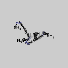 CCCCC/C=C\C/C=C\CCCCCCCCCCCCCCCCC/C=C\C/C=C\CC1(C/C=C\C/C=C\CCCCCCCCC(CCCCCCCC/C=C\C/C=C\CCCCC)OCCCN(C)C)CC(C)(C)C1